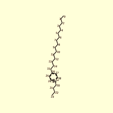 CCCCCCCCCCCCCCCCc1cc[n+](CCCC)cc1